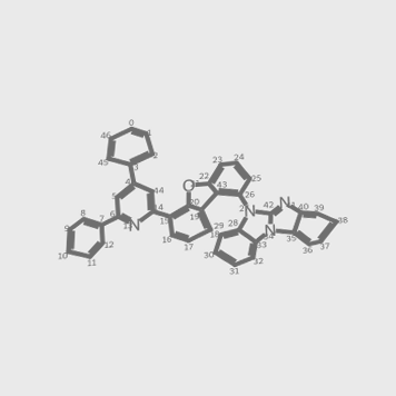 c1ccc(-c2cc(-c3ccccc3)nc(-c3cccc4c3oc3cccc(-n5c6ccccc6n6c7ccccc7nc56)c34)c2)cc1